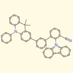 CC1(C)c2ccccc2N(c2ccccc2)c2ccc(-c3cccc(-c4cccc(C#N)c4-n4c5ccccc5c5ccccc54)c3)cc21